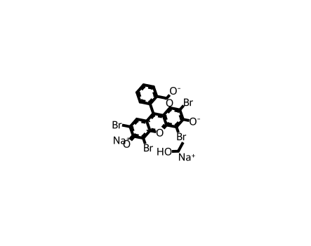 CCO.O=C([O-])c1ccccc1-c1c2cc(Br)c(=O)c(Br)c-2oc2c(Br)c([O-])c(Br)cc12.[Na+].[Na+]